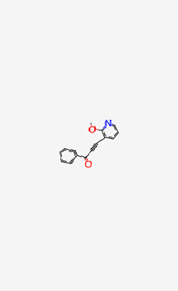 COc1ncccc1C#CC(=O)c1ccccc1